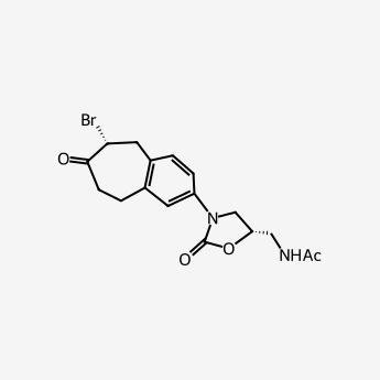 CC(=O)NC[C@H]1CN(c2ccc3c(c2)CCC(=O)[C@H](Br)C3)C(=O)O1